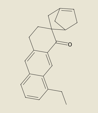 CCc1cccc2cc3c(cc12)C(=O)C1(CC3)CC2=CCC1C2